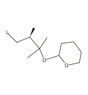 C[C@H](CI)C(C)(C)OC1CCCCO1